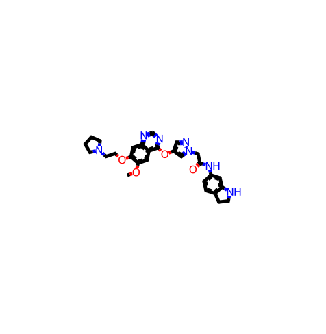 COc1cc2c(Oc3cnn(CC(=O)Nc4ccc5c(c4)NCC5)c3)ncnc2cc1OCCN1CCCC1